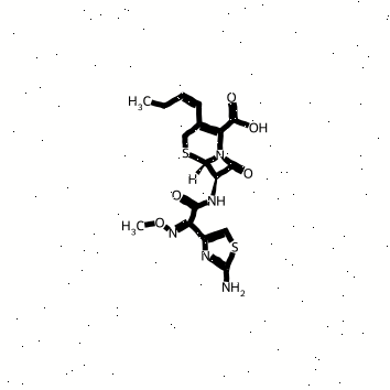 CC/C=C\C1=C(C(=O)O)N2C(=O)[C@@H](NC(=O)/C(=N\OC)c3csc(N)n3)[C@@H]2SC1